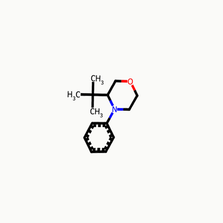 CC(C)(C)C1COCCN1c1ccccc1